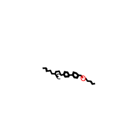 CC=CCCOCc1ccc(-c2ccc(C3CCC(CC/C=C/C)CC3)cc2)cc1